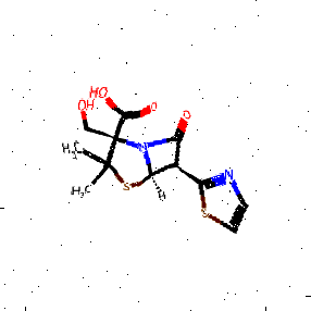 CC1(C)S[C@@H]2[C@H](c3nccs3)C(=O)N2[C@@]1(CO)C(=O)O